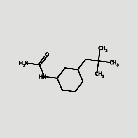 CC(C)(C)CC1CCCC(NC(N)=O)C1